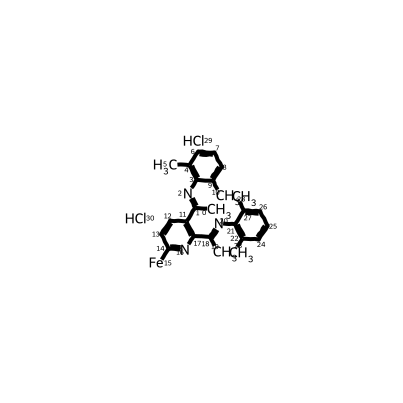 CC(=Nc1c(C)cccc1C)c1cc[c]([Fe])nc1C(C)=Nc1c(C)cccc1C.Cl.Cl